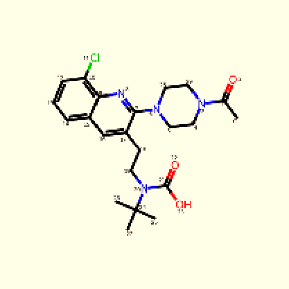 CC(=O)N1CCN(c2nc3c(Cl)cccc3cc2CCN(C(=O)O)C(C)(C)C)CC1